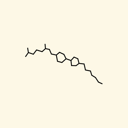 CCCCCCCC1CCC(C2CCC(CCC(C)CCCC(C)C)CC2)CC1